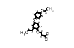 CCCc1cc(Sc2ccc(OCC)cc2)ccc1OCC=C(Cl)Cl